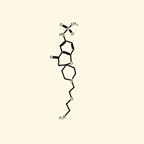 CS(=O)(=O)Nc1ccc2c(c1)C(=O)CC1(CCN(CCOCCN)CC1)O2